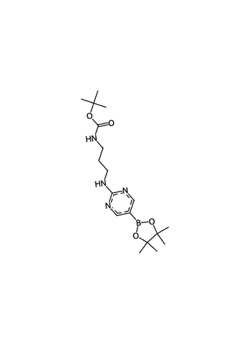 CC(C)(C)OC(=O)NCCCNc1ncc(B2OC(C)(C)C(C)(C)O2)cn1